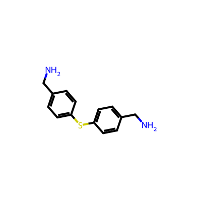 NCc1ccc(Sc2ccc(CN)cc2)cc1